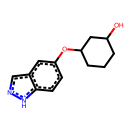 OC1CCCC(Oc2ccc3[nH]ncc3c2)C1